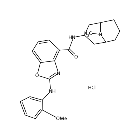 COc1ccccc1Nc1nc2c(C(=O)NC3CC4CCCC(C3)N4C)cccc2o1.Cl